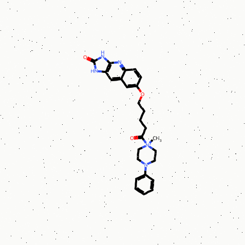 C[N+]1(C(=O)CCCCOc2ccc3nc4[nH]c(=O)[nH]c4cc3c2)CCN(c2ccccc2)CC1